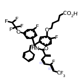 C=C(/C=C\C(F)=C\C(F)(F)F)C(=O)N[C@@](CC1C=CC=CC1)(c1cc(F)cc(OC(F)(F)C(F)F)c1)c1ccc(F)c(OCCCCC(=O)O)c1